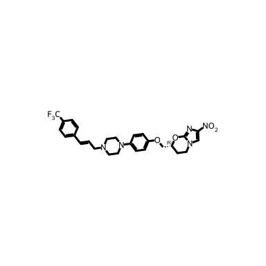 O=[N+]([O-])c1cn2c(n1)O[C@@H](COc1ccc(N3CCN(CC=Cc4ccc(C(F)(F)F)cc4)CC3)cc1)CC2